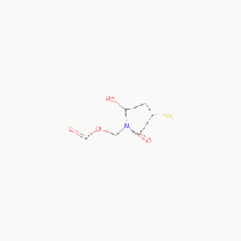 O=COCN1C(=O)C(S)CC1O